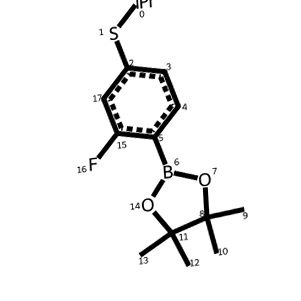 CC(C)Sc1ccc(B2OC(C)(C)C(C)(C)O2)c(F)c1